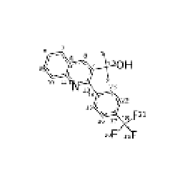 CC(C)(O)c1cc2cc[c]cc2nc1-c1ccc(C(F)(F)F)cc1